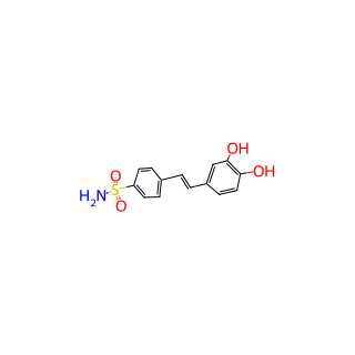 NS(=O)(=O)c1ccc(C=Cc2ccc(O)c(O)c2)cc1